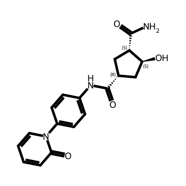 NC(=O)[C@H]1C[C@@H](C(=O)Nc2ccc(-n3ccccc3=O)cc2)C[C@@H]1O